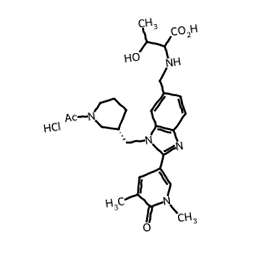 CC(=O)N1CCC[C@H](Cn2c(-c3cc(C)c(=O)n(C)c3)nc3ccc(CNC(C(=O)O)C(C)O)cc32)C1.Cl